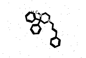 CN1CCN(CC=Cc2ccccc2)CC1(c1ccccc1)c1ccccc1